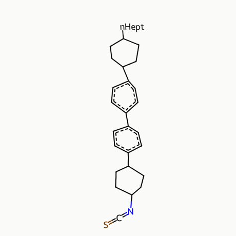 CCCCCCCC1CCC(c2ccc(-c3ccc(C4CCC(N=C=S)CC4)cc3)cc2)CC1